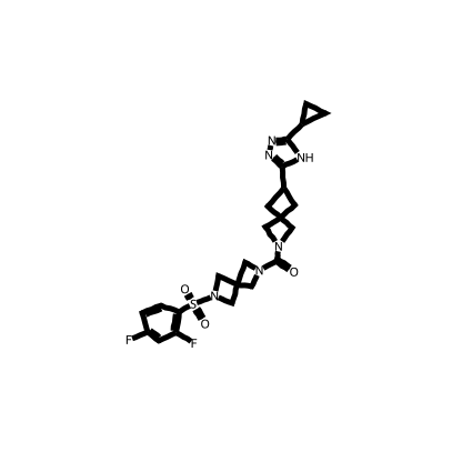 O=C(N1CC2(CC(c3nnc(C4CC4)[nH]3)C2)C1)N1CC2(C1)CN(S(=O)(=O)c1ccc(F)cc1F)C2